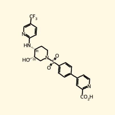 O=C(O)c1cc(-c2ccc(S(=O)(=O)N3CC[C@@H](Nc4ccc(C(F)(F)F)cn4)[C@@H](O)C3)cc2)ccn1